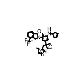 Cn1cnnc1CC1(c2cc(NC3CC=CC3)nc(N3Cc4c(cccc4C(F)(F)F)C3=O)c2)COC1